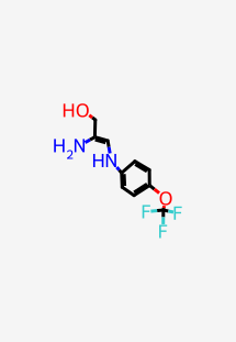 N/C(=C\Nc1ccc(OC(F)(F)F)cc1)CO